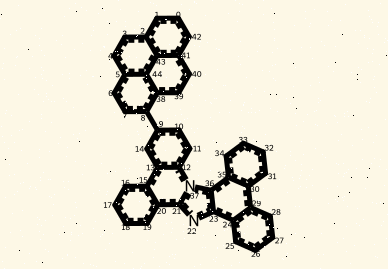 c1cc2ccc3ccc(-c4ccc5c(c4)c4ccccc4c4nc6c7ccccc7c7ccccc7c6n54)c4ccc(c1)c2c34